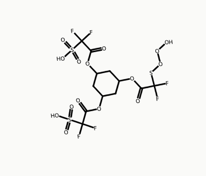 O=C(OC1CC(OC(=O)C(F)(F)S(=O)(=O)O)CC(OC(=O)C(F)(F)S(=O)(=O)O)C1)C(F)(F)SOOO